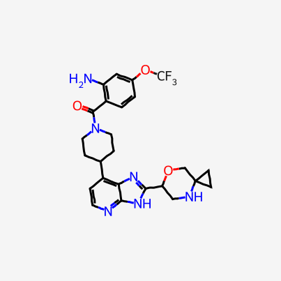 Nc1cc(OC(F)(F)F)ccc1C(=O)N1CCC(c2ccnc3[nH]c(C4CNC5(CC5)CO4)nc23)CC1